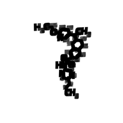 CCCc1cnc(NS(=O)(=O)c2ccc3c(c2)CC([C@H](C)c2ccc(OCC)nc2)CC3)cn1